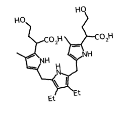 CCc1c(Cc2cc(C)c(C(CCO)C(=O)O)[nH]2)[nH]c(Cc2cc(C)c(C(CCO)C(=O)O)[nH]2)c1CC